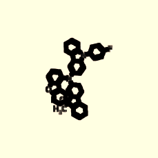 CC1(C)C2=CC(N(C3=CC4C5=C(C=CCC5)N(C5C=CC(F)=CC5)C4C=C3)c3cccc4oc5c(c34)CCCC5)CCC2C2=C1C=CCC2